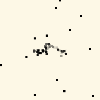 CC(O)CNC(=O)c1cccc(CCCCCC(=O)N(C)C)c1